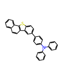 c1ccc(N(c2ccccc2)c2ccc(-c3ccc4sc5c6ccccc6ccc5c4c3)cc2)cc1